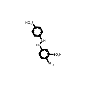 Nc1ccc(NNc2ccc(S(=O)(=O)O)cc2)cc1S(=O)(=O)O